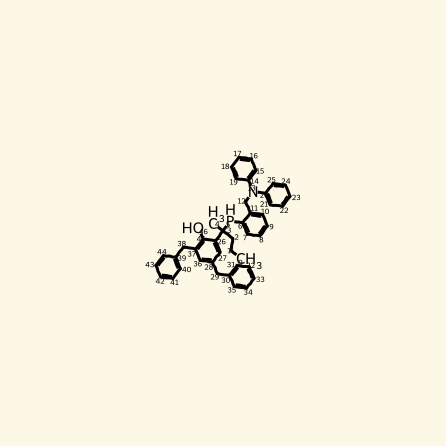 CCCC(C)(Pc1ccccc1CN(c1ccccc1)c1ccccc1)c1cc(Cc2ccccc2)cc(Cc2ccccc2)c1O